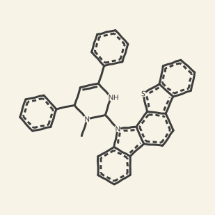 CN1C(c2ccccc2)C=C(c2ccccc2)NC1n1c2ccccc2c2ccc3c4ccccc4sc3c21